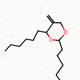 C=C1COC(CCCCC)OC1CCCCCC